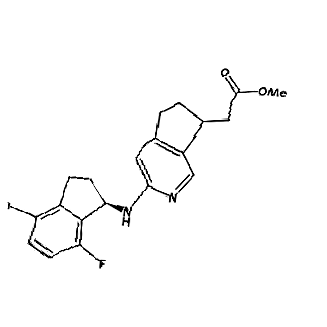 COC(=O)CC1CCc2cc(N[C@@H]3CCc4c(I)ccc(F)c43)ncc21